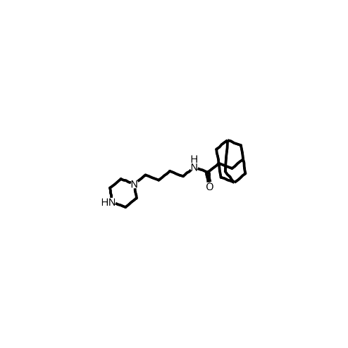 O=C(NCCCCN1CCNCC1)C12CC3CC(CC(C3)C1)C2